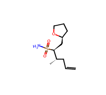 C=CC[C@H](C)[C@H](C[C@@H]1CCCO1)S(N)(=O)=O